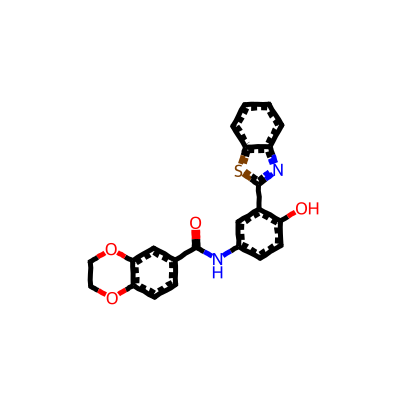 O=C(Nc1ccc(O)c(-c2nc3ccccc3s2)c1)c1ccc2c(c1)OCCO2